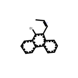 C/C=C\c1c(CC)c2ccccc2c2ccccc12